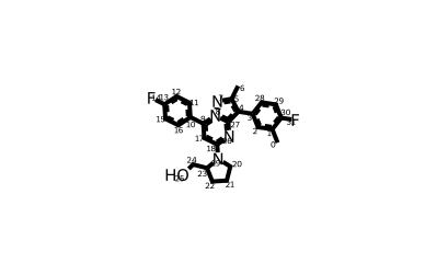 Cc1cc(-c2c(C)nn3c(-c4ccc(F)cc4)cc(N4CCCC4CO)nc23)ccc1F